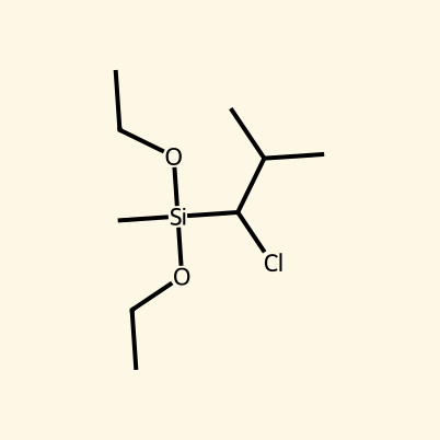 CCO[Si](C)(OCC)C(Cl)C(C)C